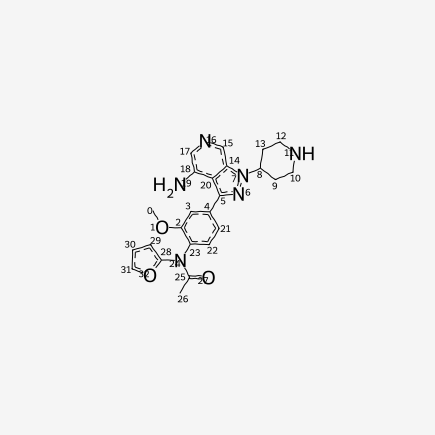 COc1cc(-c2nn(C3CCNCC3)c3cncc(N)c23)ccc1N(C(C)=O)c1ccco1